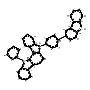 c1ccc(-n2c3ccccc3c3ccc4c(c5ccccc5n4-c4ccc(-c5ccc6oc7ccccc7c6c5)cc4)c32)cc1